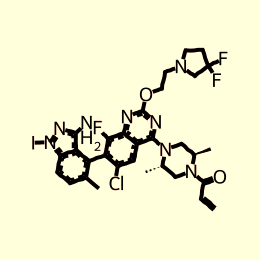 C=CC(=O)N1C[C@H](C)N(c2nc(OCCN3CCC(F)(F)C3)nc3c(F)c(-c4c(C)ccc5c4c(N)nn5I)c(Cl)cc23)C[C@H]1C